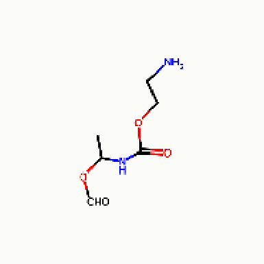 CC(NC(=O)OCCN)OC=O